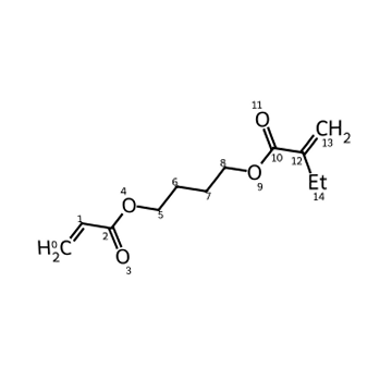 C=CC(=O)OCCCCOC(=O)C(=C)CC